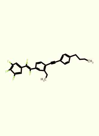 CCCCc1ccc(C#Cc2ccc(/C(F)=C(\F)c3cc(F)c(F)c(F)c3)cc2CC)cc1